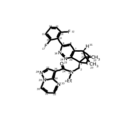 CCN(C[C@@]12CC[C@@H](c3cc(-c4c(F)cccc4F)nnc31)C2(C)C)C(=O)c1cnn2cccnc12